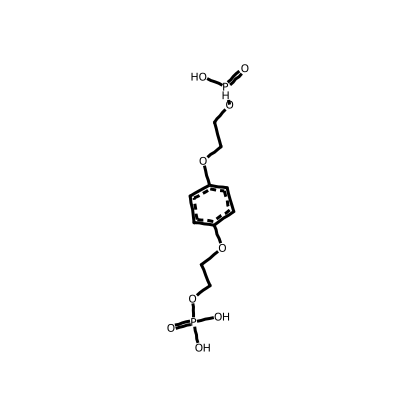 O=[PH](O)OCCOc1ccc(OCCOP(=O)(O)O)cc1